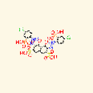 O=c1c2c(=O)/c(=N\Nc3ccc(Cl)cc3P(=O)(O)O)c(S(=O)(=O)O)cc=2cc(S(=O)(=O)O)/c1=N/Nc1ccc(Cl)cc1P(=O)(O)O